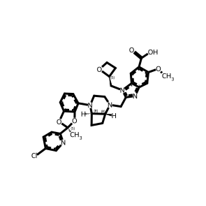 COc1cc2nc(CN3CCN(c4cccc5c4O[C@@](C)(c4ccc(Cl)cn4)O5)[C@@H]4CC[C@H]43)n(C[C@@H]3CCO3)c2cc1C(=O)O